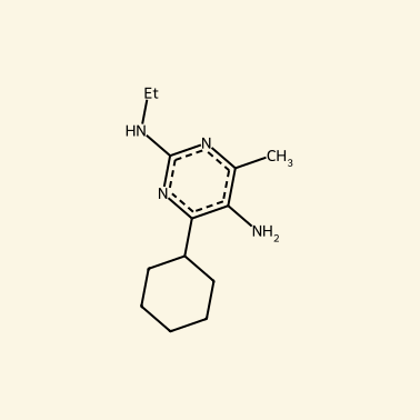 CCNc1nc(C)c(N)c(C2CCCCC2)n1